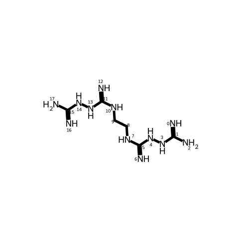 N=C(N)NNC(=N)NCCNC(=N)NNC(=N)N